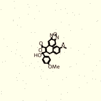 COc1ccc(C2(O)OC(=O)C(c3ccc4nonc4c3)=C2Cc2ccc(N(C)C)cc2)cc1